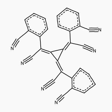 N#CC(=C1C(=C(C#N)c2ccccc2C#N)C1=C(C#N)c1ccccc1C#N)c1ccccc1C#N